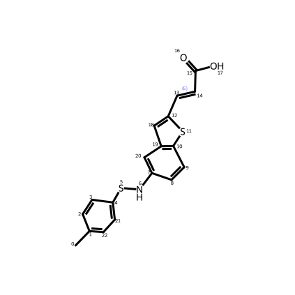 Cc1ccc(SNc2ccc3sc(/C=C/C(=O)O)cc3c2)cc1